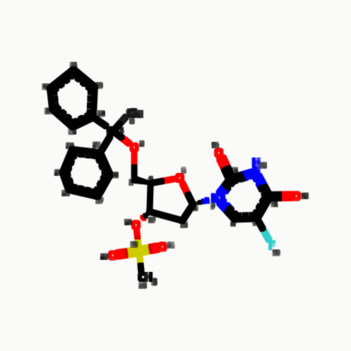 CC(C)(C)[Si](OC[C@H]1O[C@H](n2cc(F)c(=O)[nH]c2=O)C[C@@H]1OS(C)(=O)=O)(c1ccccc1)c1ccccc1